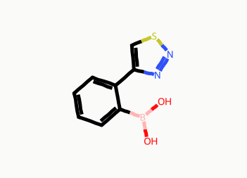 OB(O)c1ccccc1-c1csnn1